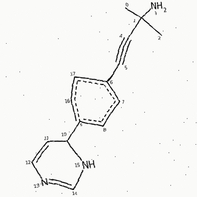 CC(C)(N)C#Cc1ccc(C2C=CN=CN2)cc1